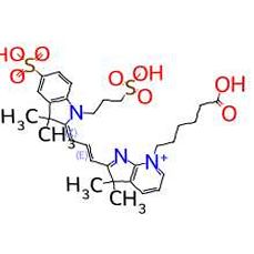 CC1(C)C(/C=C/C=C2\N(CCCS(=O)(=O)O)c3ccc(S(=O)(=O)O)cc3C2(C)C)=Nc2c1ccc[n+]2CCCCCC(=O)O